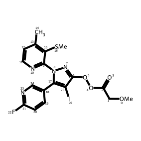 COCC(=O)OOc1nn(-c2nccc(C)c2SC)c(-c2ccc(F)nc2)c1I